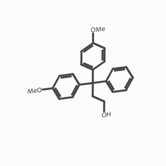 COc1ccc(C(CCO)(c2ccccc2)c2ccc(OC)cc2)cc1